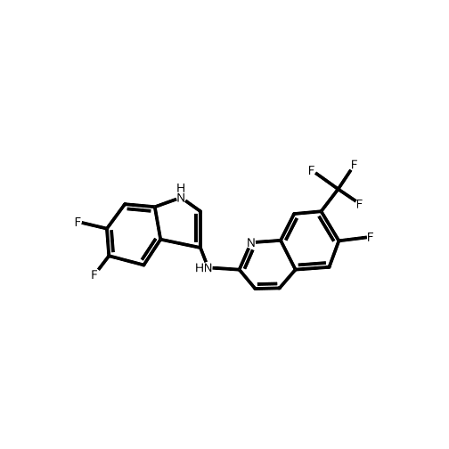 Fc1cc2[nH]cc(Nc3ccc4cc(F)c(C(F)(F)F)cc4n3)c2cc1F